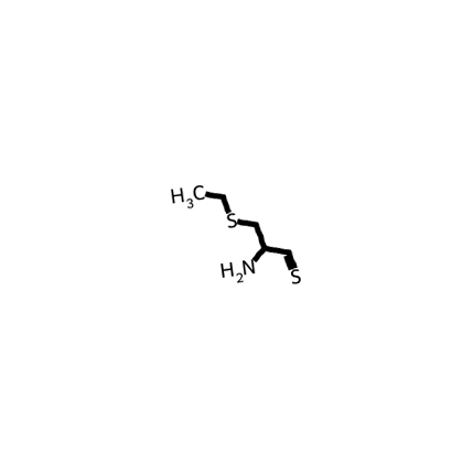 CCSCC(N)C=S